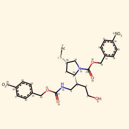 CC(=O)S[C@H]1C[C@@H](C(CCO)CNC(=O)OCc2ccc([N+](=O)[O-])cc2)N(C(=O)OCc2ccc([N+](=O)[O-])cc2)C1